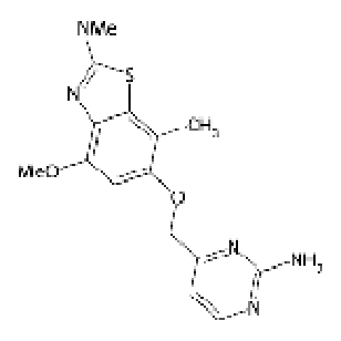 CNc1nc2c(OC)cc(OCc3ccnc(N)n3)c(C)c2s1